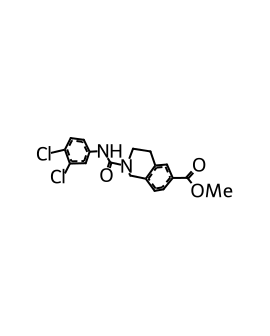 COC(=O)c1ccc2c(c1)CCN(C(=O)Nc1ccc(Cl)c(Cl)c1)C2